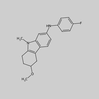 COC1CCc2c(c3ccc(Nc4ccc(F)cc4)cc3n2C)C1